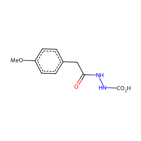 COc1ccc(CC(=O)NNC(=O)O)cc1